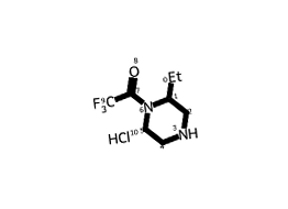 CCC1CNCCN1C(=O)C(F)(F)F.Cl